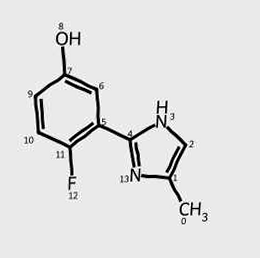 Cc1c[nH]c(-c2cc(O)ccc2F)n1